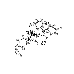 N=S(=O)(NC1COCC(N2c3ccccc3Oc3ccc(F)cc32)C1O)c1ccc(OC(F)(F)F)cc1